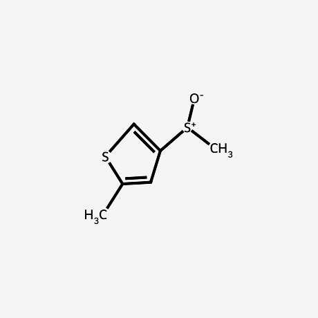 Cc1cc([S+](C)[O-])cs1